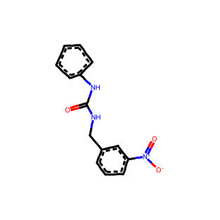 O=C(NCc1cccc([N+](=O)[O-])c1)Nc1ccccc1